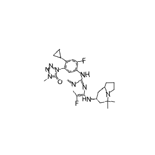 C=N/C(=N\C(N[C@H]1CC2CCCN2C(C)(C)C1)=C(/C)F)Nc1cc(-n2nnn(C)c2=O)c(C2CC2)cc1F